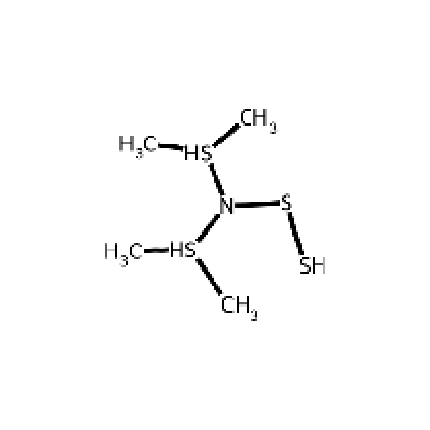 C[SH](C)N(SS)[SH](C)C